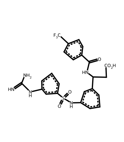 N=C(N)Nc1cccc(S(=O)(=O)Nc2cccc(C(CC(=O)O)NC(=O)c3ccc(C(F)(F)F)cc3)c2)c1